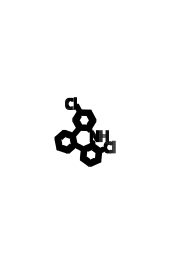 Clc1ccc2c(c1)-c1ccccc1-c1cccc(Cl)c1N2